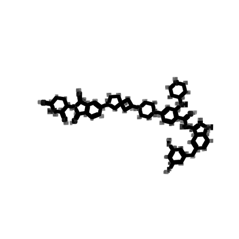 O=C1CCC(N2C(=O)c3ccc(N4CCC5(CC(N6CCN(c7ccc(C(=O)Nc8n[nH]c9ccc(Cc%10cc(F)cc(F)c%10)cc89)c(NC8CCOCC8)c7)CC6)C5)C4)cc3C2=O)C(=O)N1